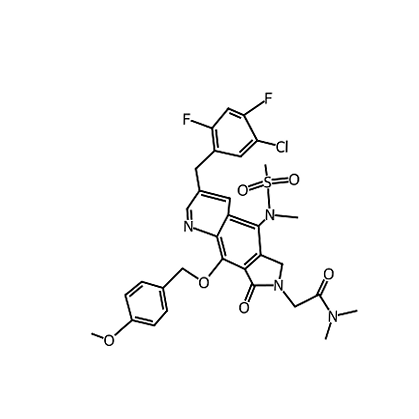 COc1ccc(COc2c3c(c(N(C)S(C)(=O)=O)c4cc(Cc5cc(Cl)c(F)cc5F)cnc24)CN(CC(=O)N(C)C)C3=O)cc1